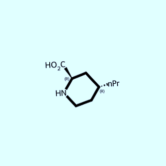 CCC[C@@H]1CCN[C@@H](C(=O)O)C1